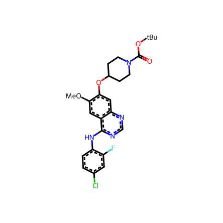 COc1cc2c(Nc3ccc(Cl)cc3F)ncnc2cc1OC1CCN(C(=O)OC(C)(C)C)CC1